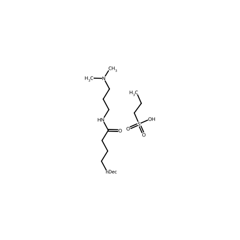 CCCCCCCCCCCCCC(=O)NCCCN(C)C.CCCS(=O)(=O)O